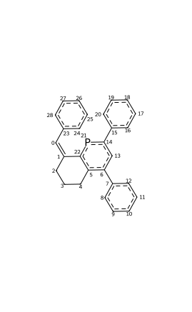 C(=C1\CCCc2c(-c3ccccc3)cc(-c3ccccc3)pc21)/c1ccccc1